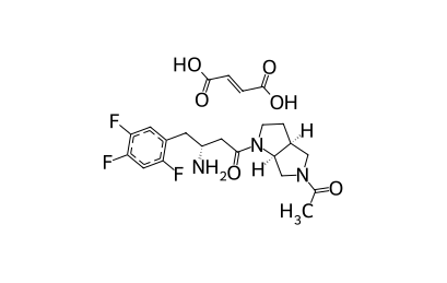 CC(=O)N1C[C@@H]2CCN(C(=O)C[C@H](N)Cc3cc(F)c(F)cc3F)[C@@H]2C1.O=C(O)/C=C/C(=O)O